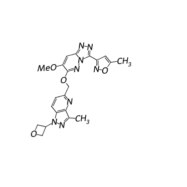 COc1cc2nnc(-c3cc(C)on3)n2nc1OCc1ccc2c(n1)c(C)nn2C1COC1